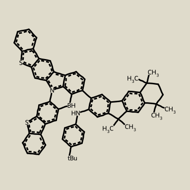 CC(C)(C)c1ccc(Nc2cc3c(cc2-c2ccc4c5cc6c(cc5n5c4c2Bc2cc4c(cc2-5)sc2ccccc24)sc2ccccc26)-c2cc4c(cc2C3(C)C)C(C)(C)CCC4(C)C)cc1